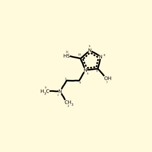 CN(C)CCn1c(O)nnc1S